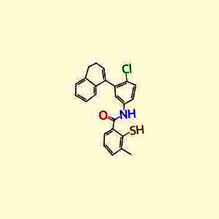 Cc1cccc(C(=O)Nc2ccc(Cl)c(C3=CCCc4ccccc43)c2)c1S